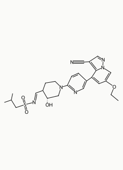 CCOc1cc(-c2ccc(N3CCC(/C=N/S(=O)(=O)CC(C)C)[C@@H](O)C3)nc2)c2c(C#N)cnn2c1